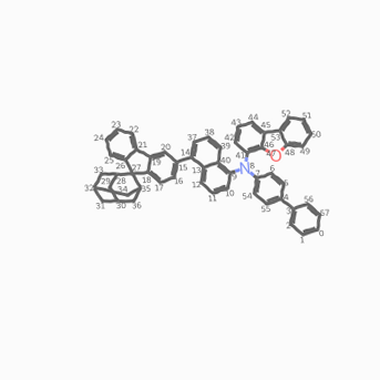 c1ccc(-c2ccc(N(c3cccc4c(-c5ccc6c(c5)-c5ccccc5C65C6CC7CC(C6)CC5C7)cccc34)c3cccc4c3oc3ccccc34)cc2)cc1